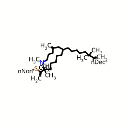 C=C(CCCN(C)C)CC(CCCCCC(C)(C)C(=C)CCCCCCCCCC)CCCCCC(C)(C)C(=C)SCCCCCCCCC